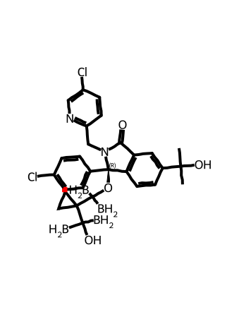 BC(B)(O)C1(C(B)(B)O[C@]2(c3ccc(Cl)cc3)c3ccc(C(C)(C)O)cc3C(=O)N2Cc2ccc(Cl)cn2)CC1